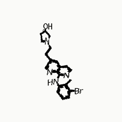 Cc1c(Br)cccc1Nc1nccc2cc(CCN3CC[C@@H](O)C3)cnc12